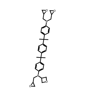 CC(C)(c1ccc(N(CC2CO2)CC2CO2)cc1)c1ccc(C(C)(C)c2ccc(N(CC3CO3)C3COC3)cc2)cc1